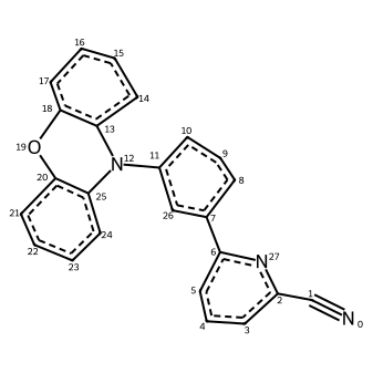 N#Cc1cccc(-c2cccc(N3c4ccccc4Oc4ccccc43)c2)n1